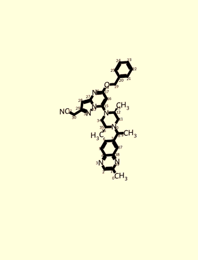 Cc1cnc2ccc(C(C)N3C[C@H](C)N(c4cc(OCc5ccccc5)nc5cc(CC#N)nn45)C[C@H]3C)cc2n1